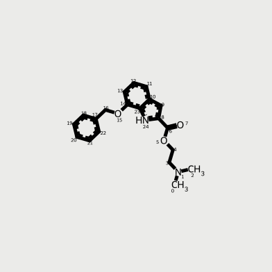 CN(C)CCOC(=O)c1cc2cccc(OCc3ccccc3)c2[nH]1